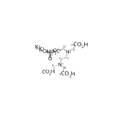 O=C(O)CN(CCN(CC(=O)O)CC(=O)O)CC(=O)O.O=S([O-])[O-].[K+].[K+]